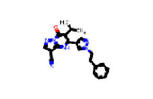 CC(C)c1c(-c2cnn(CCc3ccccc3)c2)[nH]c2c(C#N)cnn2c1=O